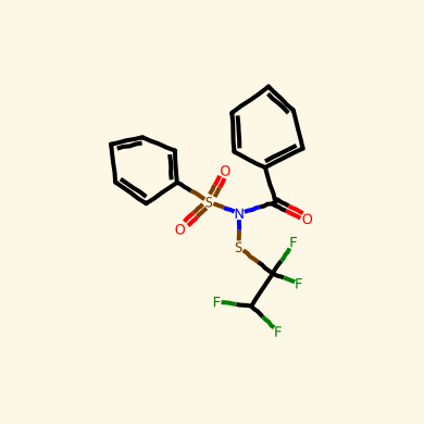 O=C(c1ccccc1)N(SC(F)(F)C(F)F)S(=O)(=O)c1ccccc1